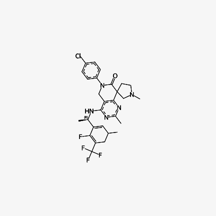 Cc1nc(N[C@H](C)C2=CC(C)CC(C(F)(F)F)=C2F)c2c(n1)C1(CCN(C)C1)C(=O)N(c1ccc(Cl)cc1)C2